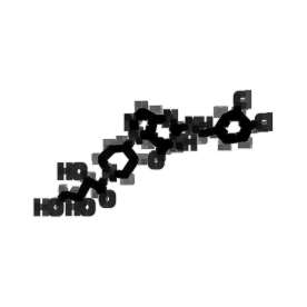 O=C(C(O)C(O)CO)N1CCC(n2ncc3nc(NCc4ccc(Cl)c(Cl)c4)[nH]c(=O)c32)CC1